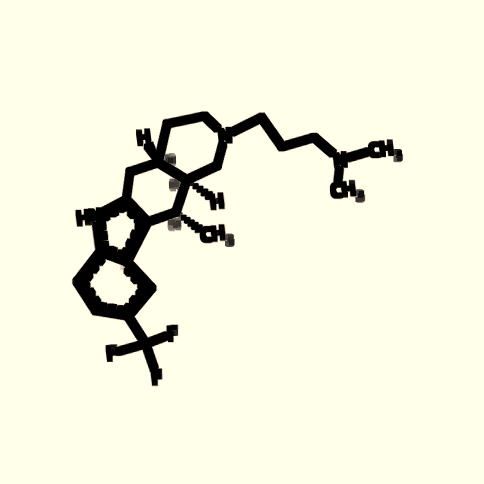 C[C@@H]1c2c([nH]c3ccc(C(F)(F)F)cc23)C[C@@H]2CCN(CCCN(C)C)C[C@H]21